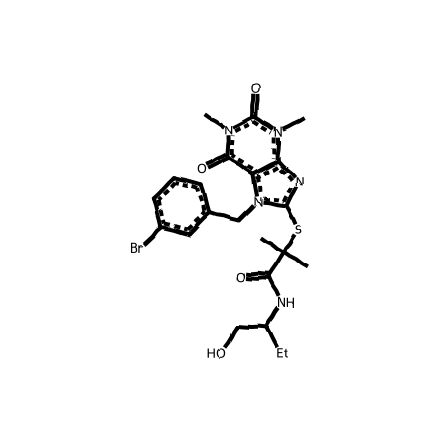 CCC(CO)NC(=O)C(C)(C)Sc1nc2c(c(=O)n(C)c(=O)n2C)n1Cc1cccc(Br)c1